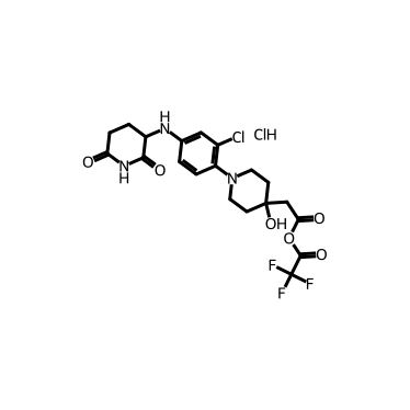 Cl.O=C1CCC(Nc2ccc(N3CCC(O)(CC(=O)OC(=O)C(F)(F)F)CC3)c(Cl)c2)C(=O)N1